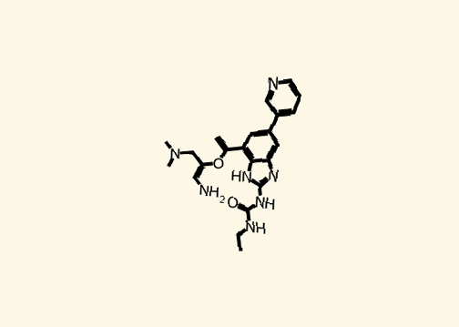 C=C(O/C(=C\N)CN(C)C)c1cc(-c2cccnc2)cc2nc(NC(=O)NCC)[nH]c12